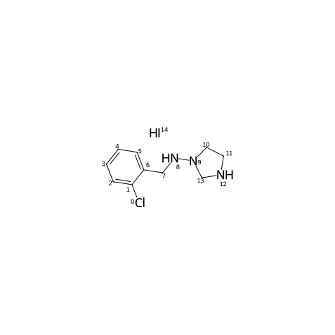 Clc1ccccc1CNN1CCNC1.I